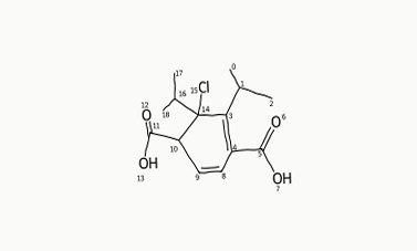 CC(C)C1=C(C(=O)O)C=CC(C(=O)O)C1(Cl)C(C)C